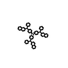 c1ccc(C(c2ccc(N(c3ccc(C(c4ccccc4)c4ccc5ccccc5c4)cc3)c3ccc(C(c4ccccc4)c4ccc5ccccc5c4)cc3)cc2)c2ccc3ccccc3c2)cc1